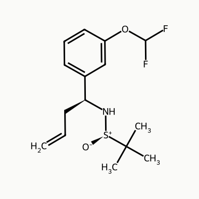 C=CC[C@H](N[S@+]([O-])C(C)(C)C)c1cccc(OC(F)F)c1